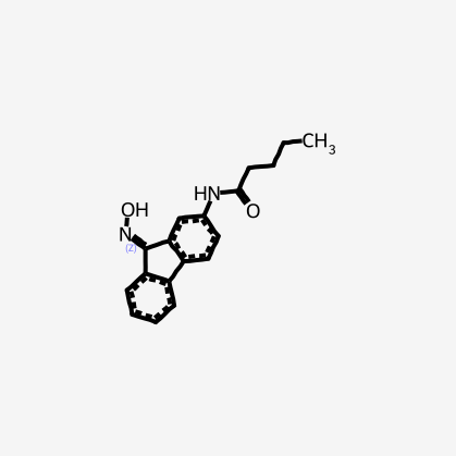 CCCCC(=O)Nc1ccc2c(c1)/C(=N\O)c1ccccc1-2